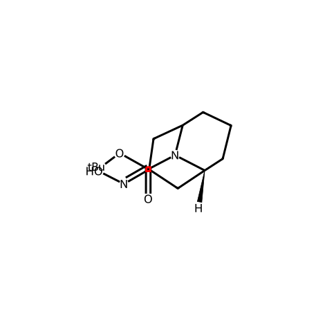 CC(C)(C)OC(=O)N1C2CCC[C@@H]1C/C(=N/O)C2